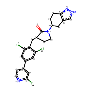 O=C1[C@H](Cc2c(Cl)cc(-c3ccnc(F)c3)cc2Cl)CCN1[C@H]1CCc2n[nH]cc2C1